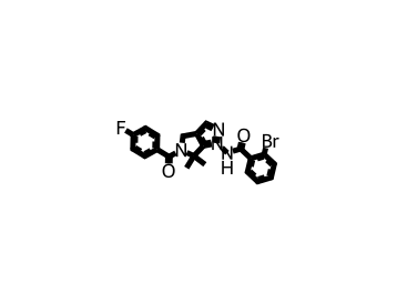 CC1(C)c2c(cnn2NC(=O)c2ccccc2Br)CN1C(=O)c1ccc(F)cc1